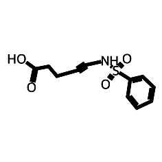 O=C(O)CCC#CNS(=O)(=O)c1ccccc1